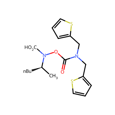 CCCC[C@H](C)N(OC(=O)N(Cc1cccs1)Cc1cccs1)C(=O)O